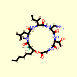 CCCCCCC1OC(=O)CNC(=O)C(C(C)O)NC(=O)C(CN)NC(=O)C(C(C)CC)NC(=O)C(CC(C)C)N(C)C(=O)C1(F)F